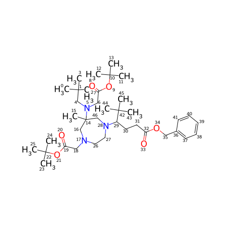 CC(C)(C)CN(CC(=O)OC(C)(C)C)C1(C)CN(CC(=O)OC(C)(C)C)CCN(C(CCC(=O)OCc2ccccc2)C(C)(C)C)C1